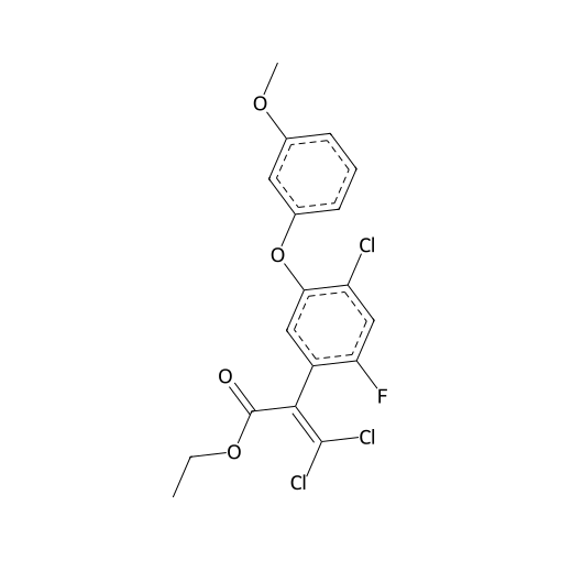 CCOC(=O)C(=C(Cl)Cl)c1cc(Oc2cccc(OC)c2)c(Cl)cc1F